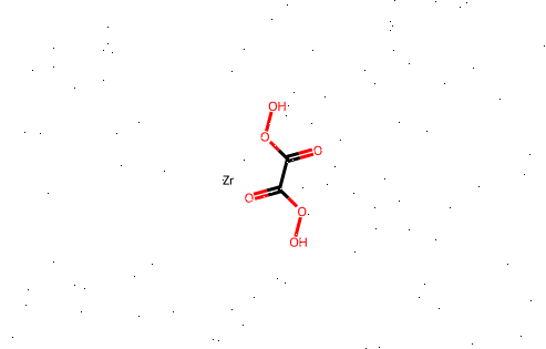 O=C(OO)C(=O)OO.[Zr]